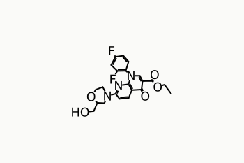 CCOC(=O)c1cn(-c2ccc(F)cc2F)c2nc(N3CCOC(CO)C3)ccc2c1=O